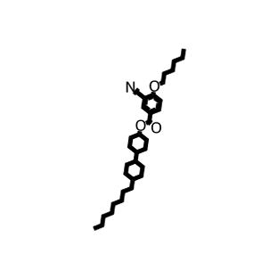 CCCCCCCCC1CCC(C2CCC(OC(=O)c3ccc(OCCCCCC)c(C#N)c3)CC2)CC1